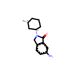 C[C@@H]1CCC[C@H](N2Cc3ccc(N)cc3C2=O)C1